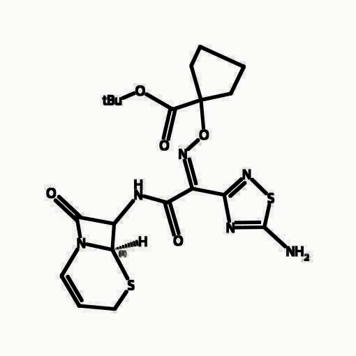 CC(C)(C)OC(=O)C1(ON=C(C(=O)NC2C(=O)N3C=CCS[C@H]23)c2nsc(N)n2)CCCC1